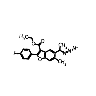 CCOC(=O)c1c(-c2ccc(F)cc2)oc2cc(C)c(C(C)N=[N+]=[N-])cc12